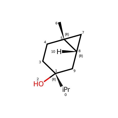 CC(C)[C@@]1(O)CC[C@]2(C)C[C@@H]2C1